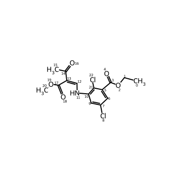 CCOC(=O)c1cc(Cl)cc(NC=C(C(C)=O)C(=O)OC)c1Cl